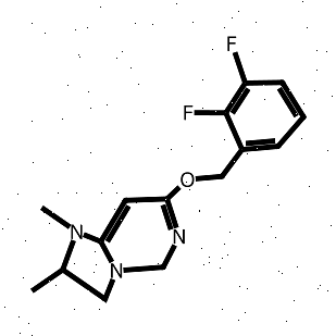 CC1CN2CN=C(OCc3cccc(F)c3F)C=C2N1C